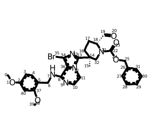 COc1ccc(CNc2nccn3c([C@@]4(C)CC[C@H](C=O)N(C(=O)OCc5ccccc5)C4)nc(Br)c23)c(OC)c1